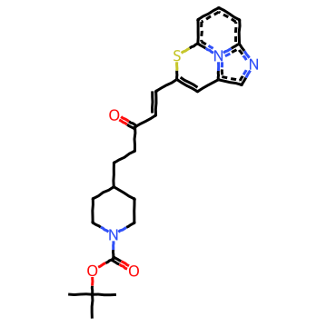 CC(C)(C)OC(=O)N1CCC(CCC(=O)/C=C/C2=Cc3cnc4cccc(n34)S2)CC1